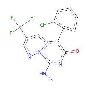 CNc1nc(=O)c(-c2ccccc2Cl)c2cc(C(F)(F)F)cnn12